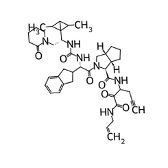 C#CCC(NC(=O)[C@@H]1[C@H]2CCC[C@H]2CN1C(=O)[C@@H](NC(=O)N[C@H](CN1CCCCC1=O)C12C(C)C1C2C)C1Cc2ccccc2C1)C(=O)C(=O)NCC=C